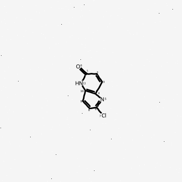 O=c1ccc2nc(Cl)ccc2[nH]1